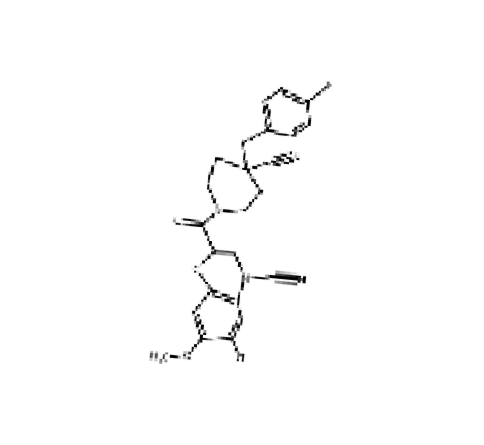 COc1cc2c(cc1Cl)N(C#N)CC(C(=O)N1CCC(C#N)(Cc3ccc(F)cc3)CC1)O2